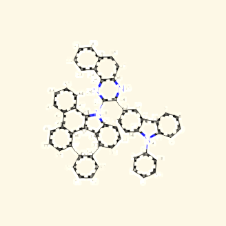 c1ccc(-n2c3ccccc3c3cc(-c4nc5ccc6ccccc6c5nc4-n4c5cccc6c5c5c7c(cccc7c7ccccc7c54)-c4ccccc4-6)ccc32)cc1